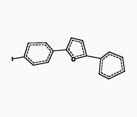 Ic1ccc(-c2ccc(-c3ccccc3)o2)cc1